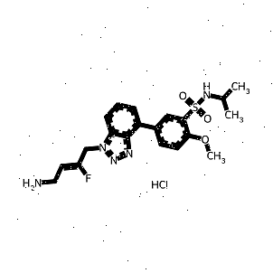 COc1ccc(-c2cccc3c2nnn3C/C(F)=C/CN)cc1S(=O)(=O)NC(C)C.Cl